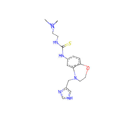 CN(C)CCNC(=S)Nc1ccc2c(c1)N(Cc1c[nH]cn1)CCO2